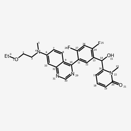 CCOCCN(C)c1ccc2c(-c3cc(C(O)c4cccc(=O)n4C)c(F)cc3F)ncnc2c1